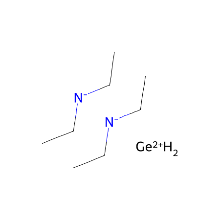 CC[N-]CC.CC[N-]CC.[GeH2+2]